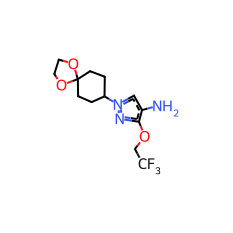 Nc1cn(C2CCC3(CC2)OCCO3)nc1OCC(F)(F)F